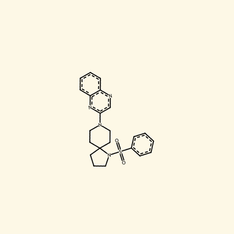 O=S(=O)(c1ccccc1)N1CCCC12CCN(c1cnc3ccccc3n1)CC2